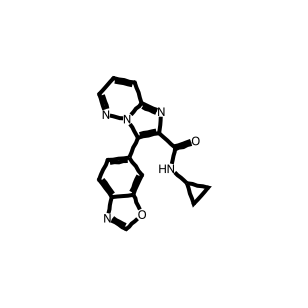 O=C(NC1CC1)c1nc2cccnn2c1-c1ccc2ncoc2c1